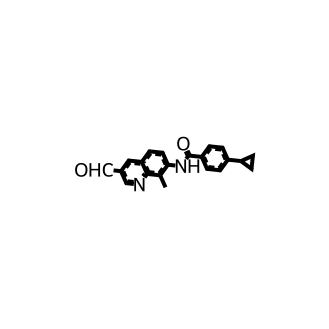 Cc1c(NC(=O)c2ccc(C3CC3)cc2)ccc2cc(C=O)cnc12